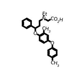 CCN(CCC(Oc1ccc(Oc2ccc(C)cc2)cc1C)c1ccccc1)CC(=O)O